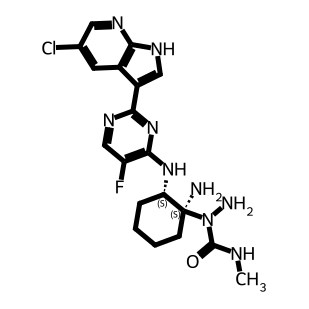 CNC(=O)N(N)[C@@]1(N)CCCC[C@@H]1Nc1nc(-c2c[nH]c3ncc(Cl)cc23)ncc1F